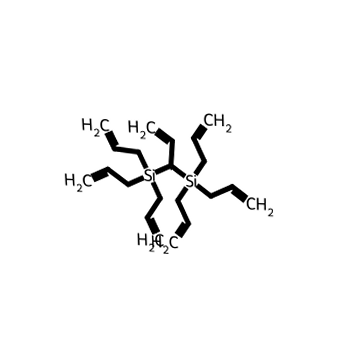 C=CC[Si](CC=C)(CC=C)[C](C=C)[Si](CC=C)(CC=C)CC=C